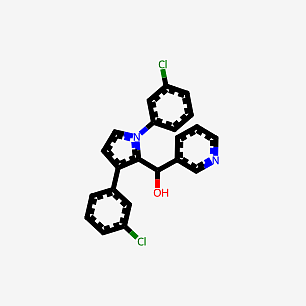 OC(c1cccnc1)c1c(-c2cccc(Cl)c2)ccn1-c1cccc(Cl)c1